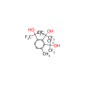 Cc1ccc(C(O)(C(F)(F)F)C(F)(F)F)c(C(O)(C(F)(F)F)C(F)(F)F)c1C(O)(C(F)(F)F)C(F)(F)F